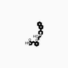 O=C1NCCC1=Cc1ccccc1OCC(O)CN1CCC(c2ccc3ccccc3c2)CC1